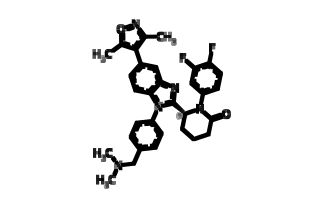 Cc1noc(C)c1-c1ccc2c(c1)nc([C@@H]1CCCC(=O)N1c1ccc(F)c(F)c1)n2-c1ccc(CN(C)C)cc1